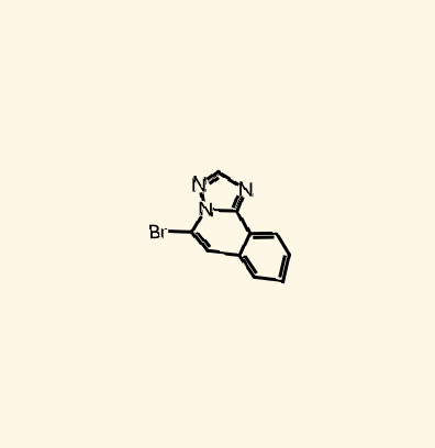 Brc1cc2ccccc2c2ncnn12